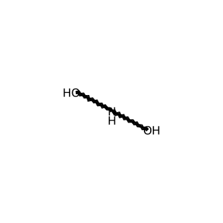 OCCCCCCCCCCCCCCCNCCCCCCCCCCCCCCCO